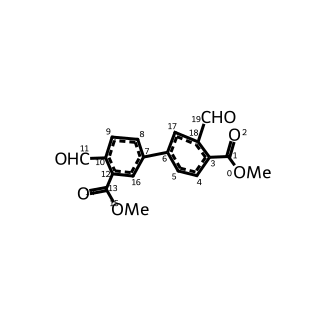 COC(=O)c1ccc(-c2ccc(C=O)c(C(=O)OC)c2)cc1C=O